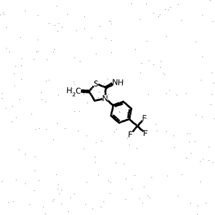 C=C1CN(c2ccc(C(F)(F)F)cc2)C(=N)S1